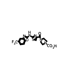 O=C(O)N1CCN(C(=O)c2csc(Nc3nc4cc(C(F)(F)F)ccc4o3)n2)CC1